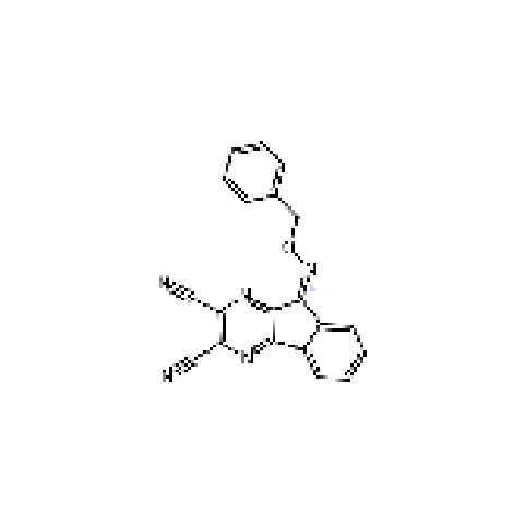 N#Cc1nc2c(nc1C#N)-c1ccccc1/C2=N/OCc1ccccc1